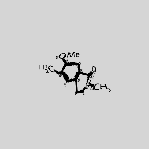 COc1cc2c(cc1C)CCN(C)C2=O